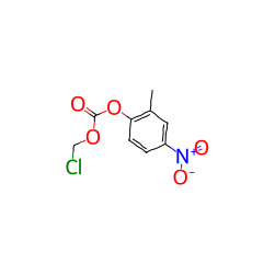 Cc1cc([N+](=O)[O-])ccc1OC(=O)OCCl